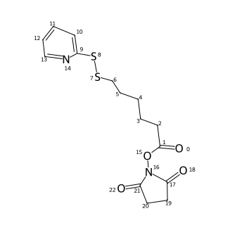 O=C(CCCCCSSc1ccccn1)ON1C(=O)CCC1=O